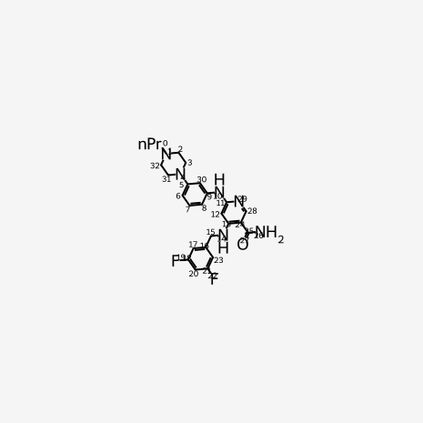 CCCN1CCN(c2cccc(Nc3cc(NCc4cc(F)cc(F)c4)c(C(N)=O)cn3)c2)CC1